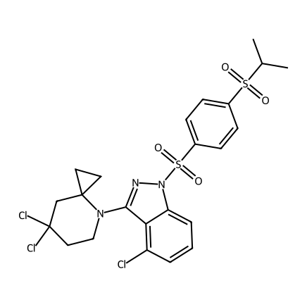 CC(C)S(=O)(=O)c1ccc(S(=O)(=O)n2nc(N3CCC(Cl)(Cl)CC34CC4)c3c(Cl)cccc32)cc1